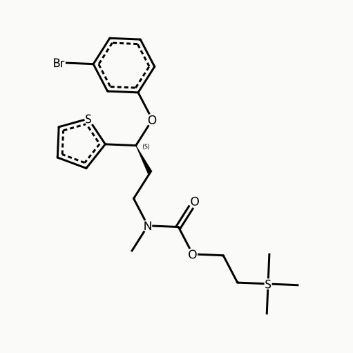 CN(CC[C@H](Oc1cccc(Br)c1)c1cccs1)C(=O)OCCS(C)(C)C